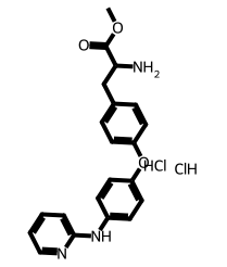 COC(=O)C(N)Cc1ccc(Oc2ccc(Nc3ccccn3)cc2)cc1.Cl.Cl